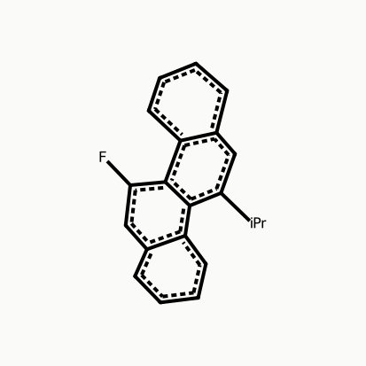 CC(C)c1cc2ccccc2c2c(F)cc3ccccc3c12